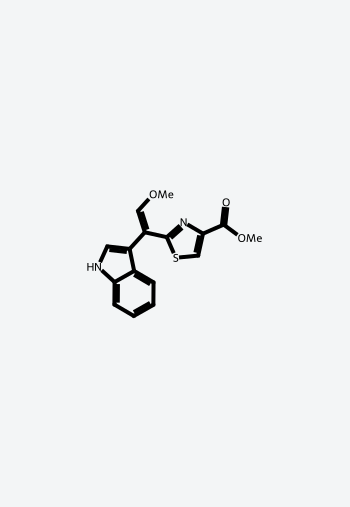 COC=C(c1nc(C(=O)OC)cs1)c1c[nH]c2ccccc12